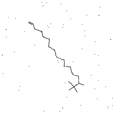 C=CCCCCCCCCCCCCC(C)C(C)(C)C